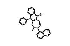 CC1Cc2c(c(Br)c3ccccc3c2-c2ccccc2)C=CC1c1cccc2ccccc12